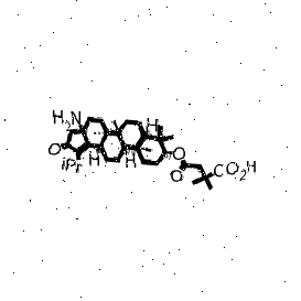 CC(C)C1=C2[C@H]3CC[C@@H]4[C@@]5(C)CC[C@H](OC(=O)CC(C)(C)C(=O)O)C(C)(C)[C@@H]5CC[C@@]4(C)[C@]3(C)CC[C@@]2(N)CC1=O